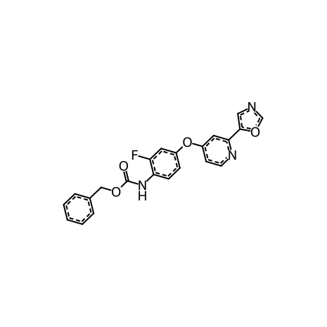 O=C(Nc1ccc(Oc2ccnc(-c3cnco3)c2)cc1F)OCc1ccccc1